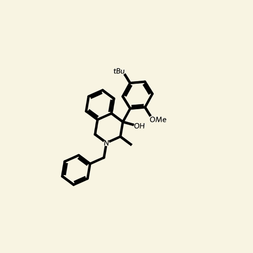 COc1ccc(C(C)(C)C)cc1C1(O)c2ccccc2CN(Cc2ccccc2)C1C